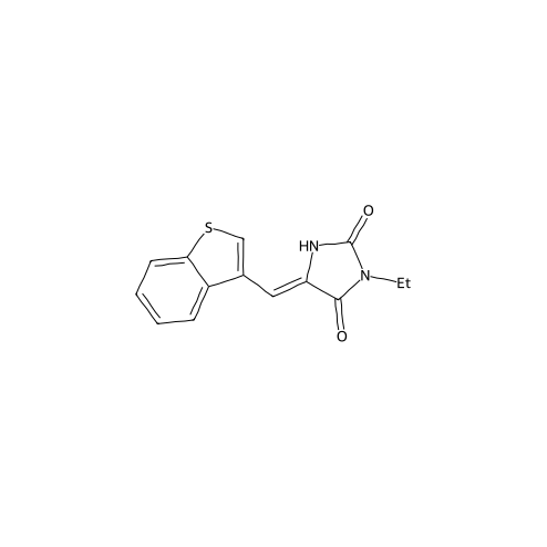 CCN1C(=O)NC(=Cc2csc3ccccc23)C1=O